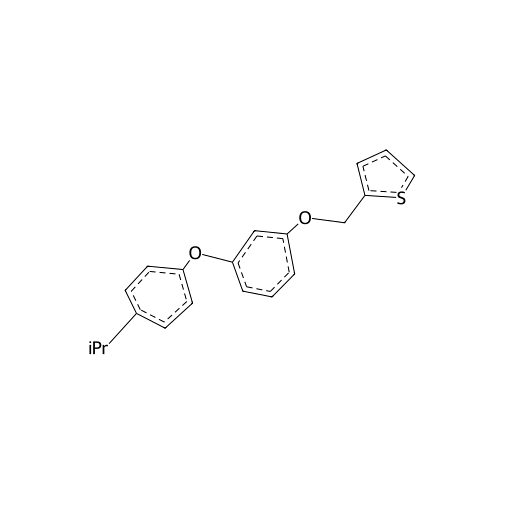 CC(C)c1ccc(Oc2cccc(OCc3cccs3)c2)cc1